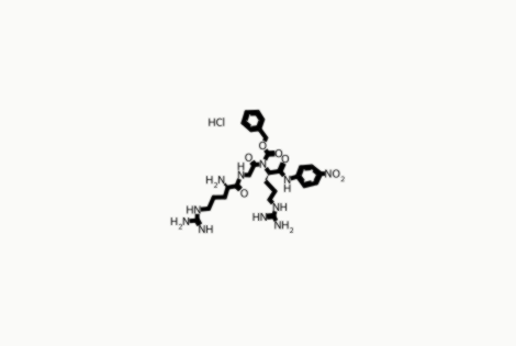 Cl.N=C(N)NCCC[C@@H](N)C(=O)NCC(=O)N(C(=O)OCc1ccccc1)[C@@H](CCCNC(=N)N)C(=O)Nc1ccc([N+](=O)[O-])cc1